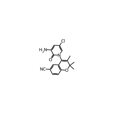 CC1=C(n2cc(Cl)cc(N)c2=O)c2cc(C#N)ccc2OC1(C)C